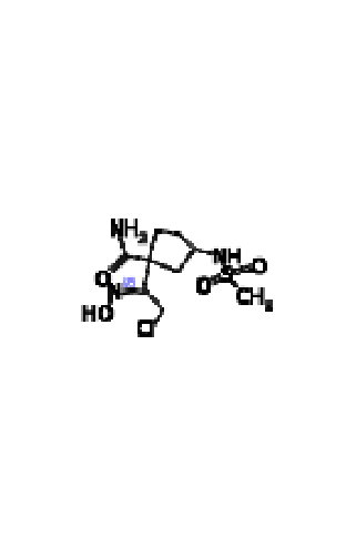 CS(=O)(=O)NC1CCC(C(N)=O)(/C(CCl)=N/O)C1